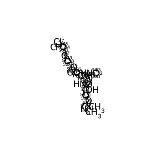 Cc1nccc(Oc2ccc(CC(NC(=O)[C@@H]3Cc4cc5c(cc4CN3C(=O)NC3CCCCC3)O[C@@H](c3ccc(OCc4ccc(Cl)c(Cl)c4)cc3)CO5)C(=O)O)cc2)c1C